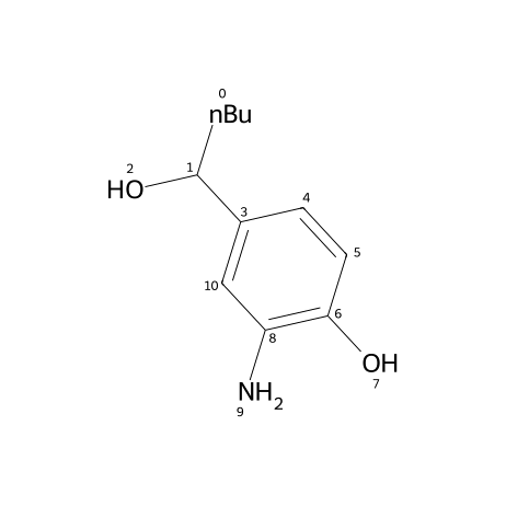 CCCCC(O)c1ccc(O)c(N)c1